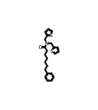 O=C(CCCC[CH]Cc1ccccc1)N(Cc1cccs1)Cc1cccs1